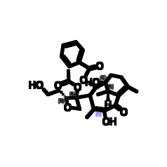 CC(=O)O[C@@]1(C2/C(C)=C(/O)C(=O)C3=C(C)CC[C@](O)([C@H]3C)[C@H]2OC(=O)c2ccccc2)CO[C@@H]1CCO